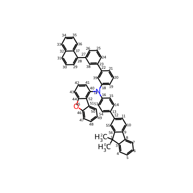 CC1(C)c2ccccc2-c2ccc(-c3ccc(N(c4cccc(-c5cccc(-c6cccc7ccccc67)c5)c4)c4cccc5oc6ccccc6c45)cc3)cc21